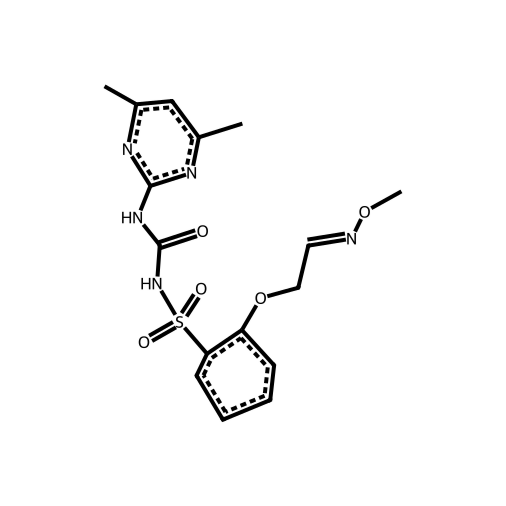 CON=CCOc1ccccc1S(=O)(=O)NC(=O)Nc1nc(C)cc(C)n1